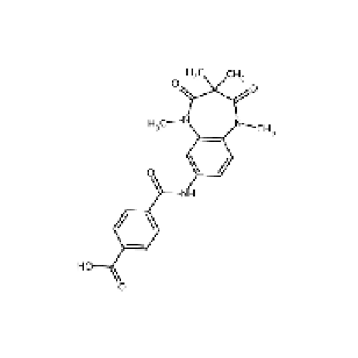 CN1C(=O)C(C)(C)C(=O)N(C)c2cc(NC(=O)c3ccc(C(=O)O)cc3)ccc21